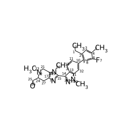 CCc1cc(C)c(F)cc1-c1ccc2c(-c3nc4c(n3C)CN(C)C(C=O)C4)nn(C)c2c1